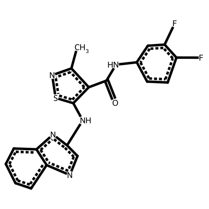 Cc1nsc(Nc2cnc3ccccc3n2)c1C(=O)Nc1ccc(F)c(F)c1